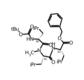 CC(C)C[C@H](NC(=O)[C@H](CC(C)C)N(C)C(=O)[C@@H](CC(C)C)NC(=O)OC(C)(C)C)C(=O)OCc1ccccc1